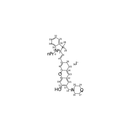 CCC[N+]1=C(C=CC2=CC3Oc4cc(O)c(CN5CCOCC5)cc4C=C3CC2)C(C)(C)c2ccccc21.[I-]